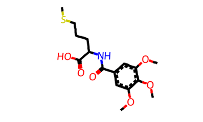 COc1cc(C(=O)NC(CCCSC)C(=O)O)cc(OC)c1OC